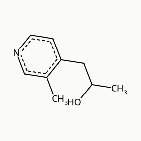 Cc1cnccc1CC(C)O